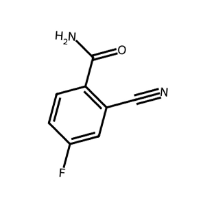 N#Cc1cc(F)ccc1C(N)=O